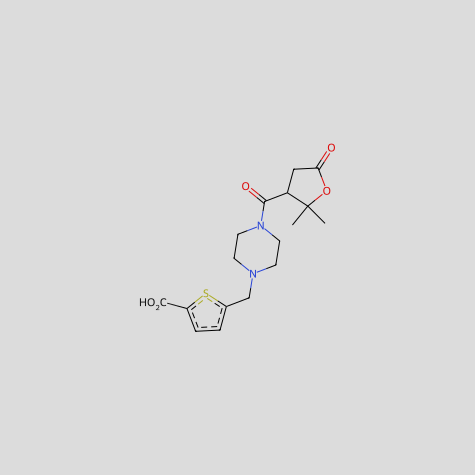 CC1(C)OC(=O)CC1C(=O)N1CCN(Cc2ccc(C(=O)O)s2)CC1